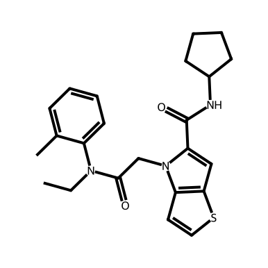 CCN(C(=O)Cn1c(C(=O)NC2CCCC2)cc2sccc21)c1ccccc1C